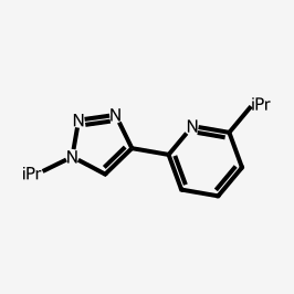 CC(C)c1cccc(-c2cn(C(C)C)nn2)n1